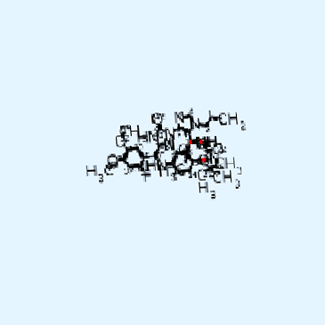 C=CCn1cnc(-n2nc(C(Nc3ccc(C#N)c(CNC(=O)OC(C)(C)C)c3)c3cc(OC)c(OC)cc3F)[nH]c2=O)c1C(=O)OCC